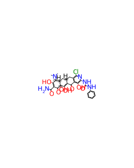 CN(C)[C@@H]1C(O)=C(C(N)=O)C(=O)[C@@]2(O)C(O)=C3C(=O)c4c(O)c(NC(=O)Nc5ccccc5)nc(Cl)c4C[C@H]3C[C@@H]12